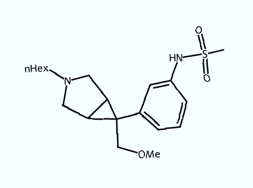 CCCCCCN1CC2C(C1)C2(COC)c1cccc(NS(C)(=O)=O)c1